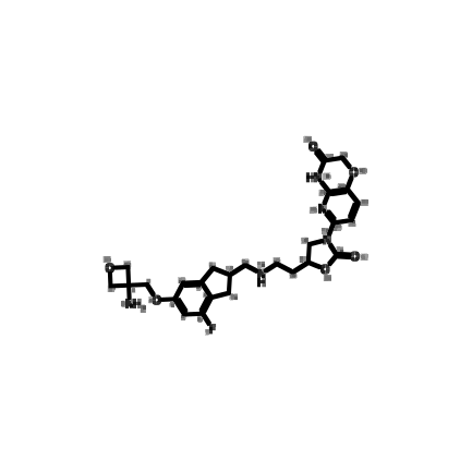 NC1(COc2cc(F)c3c(c2)CC(CNCCC2CN(c4ccc5c(n4)NC(=O)CO5)C(=O)O2)C3)COC1